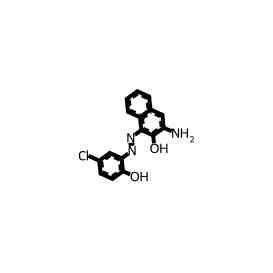 Nc1cc2ccccc2c(N=Nc2cc(Cl)ccc2O)c1O